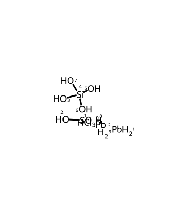 Cl.O=S(=O)(O)O.O[Si](O)(O)O.[PbH2].[PbH2]